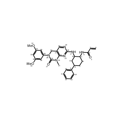 C=CC(=O)NC1CCC(c2ccccc2)CC1Nc1ncc2c(n1)N(C)C(=O)N(c1cc(OC)cc(OC)c1)C2